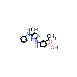 Cc1cnc(Nc2ccc3c(c2)C(C)OB3O)nc1Nc1ccccc1